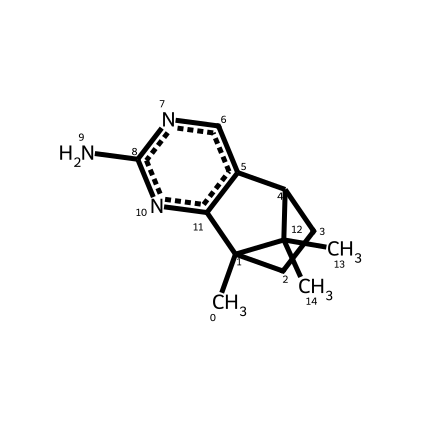 CC12CCC(c3cnc(N)nc31)C2(C)C